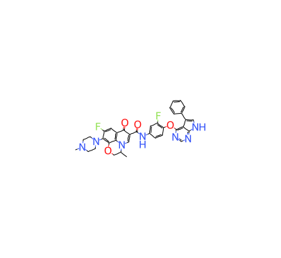 CC1COc2c(N3CCN(C)CC3)c(F)cc3c(=O)c(C(=O)Nc4ccc(Oc5ncnc6[nH]cc(-c7ccccc7)c56)c(F)c4)cn1c23